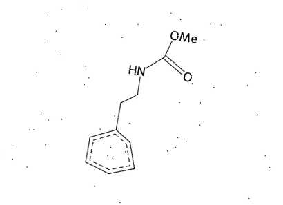 COC(=O)NCCc1ccccc1